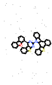 c1ccc2c(c1)oc1c(-c3nc(-n4c5ccccc5c5c6ccccc6c6sc7ccccc7c6c54)nc4sc5ccccc5c34)cccc12